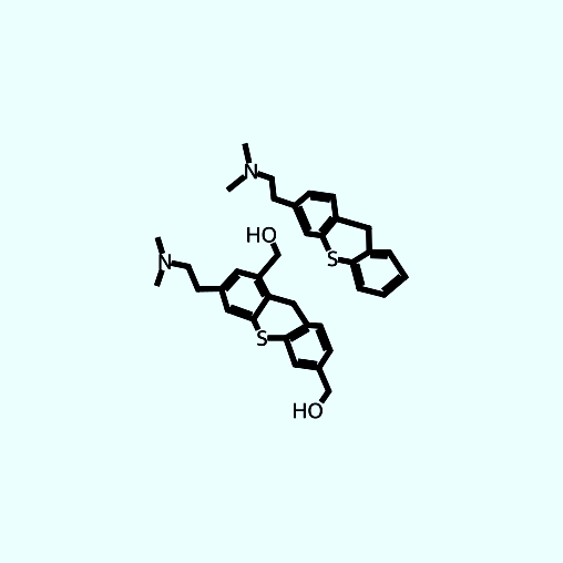 CN(C)CCc1cc(CO)c2c(c1)Sc1cc(CO)ccc1C2.CN(C)CCc1ccc2c(c1)Sc1ccccc1C2